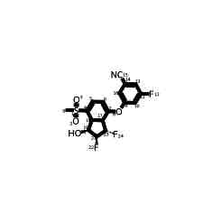 CS(=O)(=O)C1=CC=C(Oc2cc(F)cc(C#N)c2)C2C1[C@H](O)[C@H](F)[C@H]2F